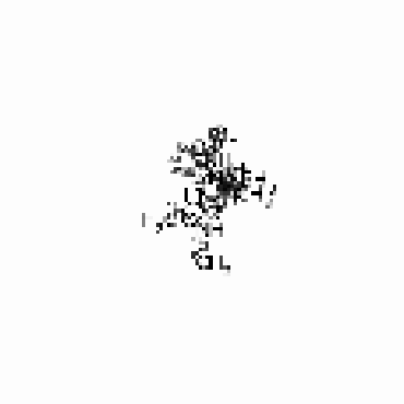 C=CCCNC(=O)C(=O)[C@H](CCC=C)NC(=O)[C@@H]1[C@@H]2[C@H](CN1C(=O)[C@@H](NC(=O)OC(C)(C)C)C1CCCCC1)C2(C)C